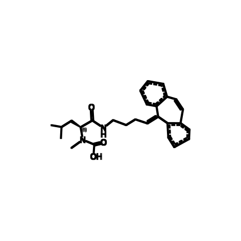 CC(C)C[C@@H](C(=O)NCCCC=C1c2ccccc2C=Cc2ccccc21)N(C)C(=O)O